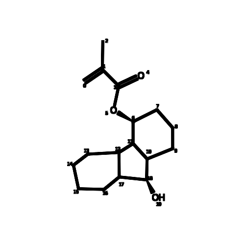 C=C(C)C(=O)O[C@H]1CCCC2C1C1CCCCC1[C@@H]2O